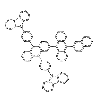 C1=CC2c3ccccc3N(c3ccc(-c4c5ccccc5c(-c5ccc(-n6c7ccccc7c7ccccc76)cc5)c5cc(-c6c7ccccc7c(-c7ccc8ccccc8c7)c7ccccc67)ccc45)cc3)C2C=C1